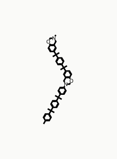 Cc1ccc(C(C)(C)c2ccc(C(C)(C)c3ccc(N4COc5ccc(C(C)(C)c6ccc(C(C)(C)c7ccc8c(c7)CN(C)CO8)cc6)cc5C4)cc3)cc2)cc1